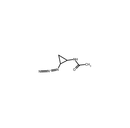 CC(=O)NC1CC1N=[N+]=[N-]